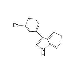 CCc1cccc(-c2c[nH]c3ccccc23)c1